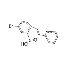 O=C(O)c1cc(Br)ccc1C=Cc1ccccc1